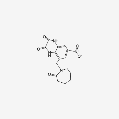 O=C1CCCCCN1Cc1cc([N+](=O)[O-])cc2[nH]c(=O)c(=O)[nH]c12